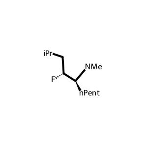 CCCCC[C@H](NC)[C@H](F)CC(C)C